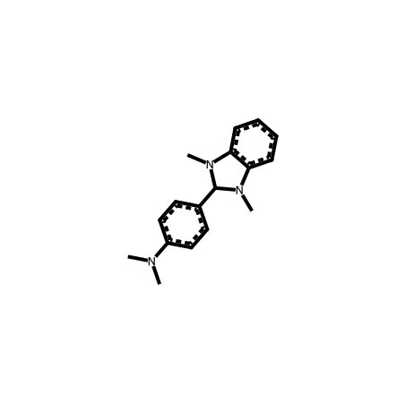 CN(C)c1ccc(C2N(C)c3ccccc3N2C)cc1